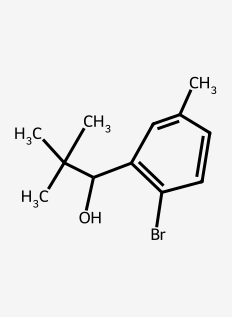 Cc1ccc(Br)c(C(O)C(C)(C)C)c1